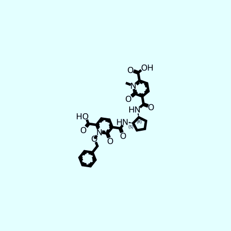 Cn1c(C(=O)O)ccc(C(=O)N[C@@H]2CCC[C@@H]2NC(=O)c2ccc(C(=O)O)n(OCc3ccccc3)c2=O)c1=O